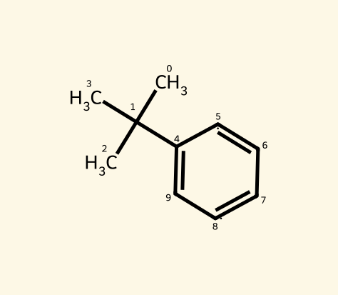 CC(C)(C)c1[c]cc[c]c1